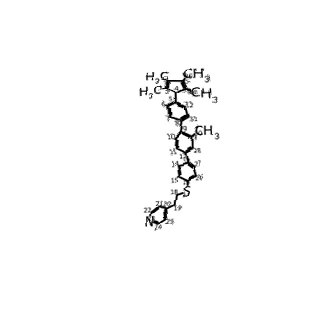 CC1=C(C)C(c2ccc(-c3ccc(-c4ccc(SCCc5ccncc5)cc4)cc3C)cc2)C(C)=C1C